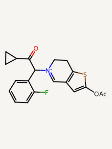 CC(=O)Oc1cc2c(s1)CC[N+](C(C(=O)C1CC1)c1ccccc1F)=C2